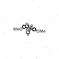 COc1ccc(S(=O)(=O)c2cnc3ccc(OC)cc3c2N2CCC(C)CC2)cc1